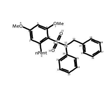 CCCCCc1cc(OC)cc(OC)c1S(=O)(=O)N(Cc1ccccc1)c1ccccc1